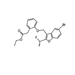 CCOC(=O)Cc1ccccc1OCc1c(C(F)F)oc2ccc(Br)cc12